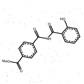 COC(=O)c1ccc(C(=O)NC(=O)c2ccccc2O)cc1